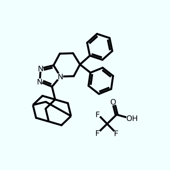 O=C(O)C(F)(F)F.c1ccc(C2(c3ccccc3)CCc3nnc(C45CC6CC(CC(C6)C4)C5)n3C2)cc1